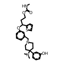 CNC(=O)OCCC(Oc1cccc(CN2CCC(c3cccc(O)c3)(N(C)C)CC2)c1)c1cccs1